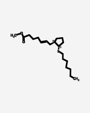 CCCCCCCS[C@H]1CCC[C@@H]1CC=CCCCC(=O)OC